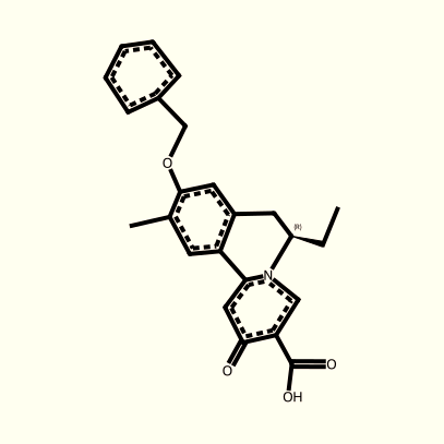 CC[C@@H]1Cc2cc(OCc3ccccc3)c(C)cc2-c2cc(=O)c(C(=O)O)cn21